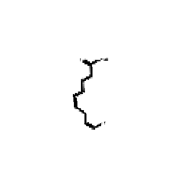 CC/C=C\C/C=C\CCCC(=O)OC